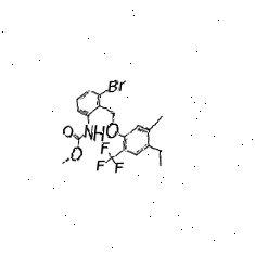 CCc1cc(C(F)(F)F)c(OCc2c(Br)cccc2NC(=O)OC)cc1C